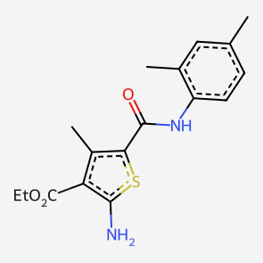 CCOC(=O)c1c(N)sc(C(=O)Nc2ccc(C)cc2C)c1C